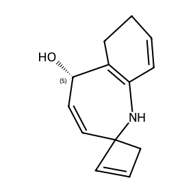 O[C@H]1C=CC2(C=CC2)NC2=C1CCC=C2